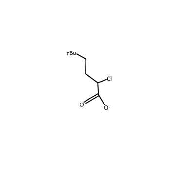 CCCCCCC(Cl)C([O])=O